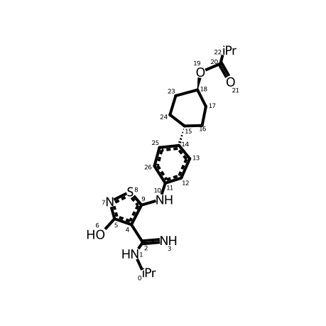 CC(C)NC(=N)c1c(O)nsc1Nc1ccc([C@H]2CC[C@H](OC(=O)C(C)C)CC2)cc1